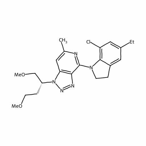 CCc1cc(Cl)c2c(c1)CCN2c1nc(C)cc2c1nnn2[C@H](CCOC)COC